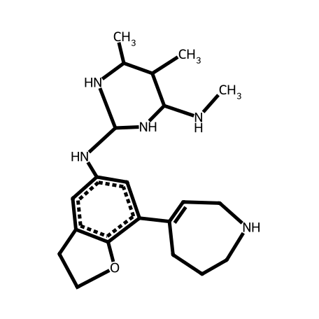 CNC1NC(Nc2cc3c(c(C4=CCNCCC4)c2)OCC3)NC(C)C1C